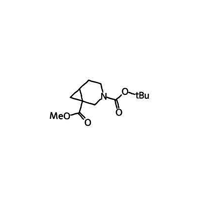 COC(=O)C12CC1CCN(C(=O)OC(C)(C)C)C2